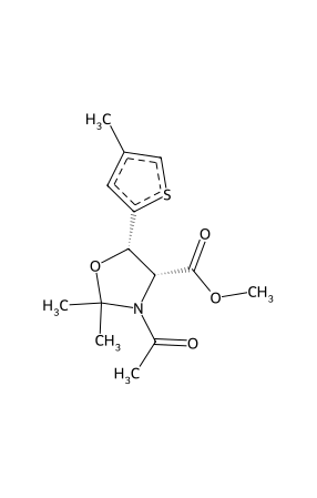 COC(=O)[C@H]1[C@@H](c2cc(C)cs2)OC(C)(C)N1C(C)=O